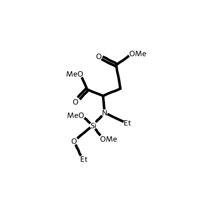 CCO[Si](OC)(OC)N(CC)C(CC(=O)OC)C(=O)OC